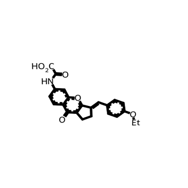 CCOc1ccc(C=C2CCc3c2oc2cc(NC(=O)C(=O)O)ccc2c3=O)cc1